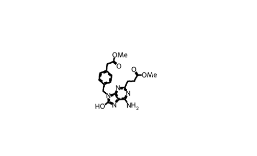 COC(=O)CCc1nc(N)c2nc(O)n(Cc3ccc(CC(=O)OC)cc3)c2n1